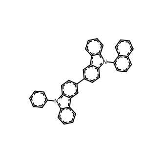 c1ccc(-n2c3ccccc3c3cc(-c4ccc5c(c4)c4ccccc4n5-c4cccc5ccccc45)ccc32)cc1